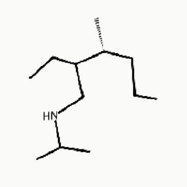 CCC[C@@H](C)C(CC)CNC(C)C